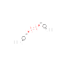 Cc1ccc(/C=C\C(=O)O[C@@H]2COC3C(OC(=O)/C=C/c4ccc(C)cc4)COC32)cc1